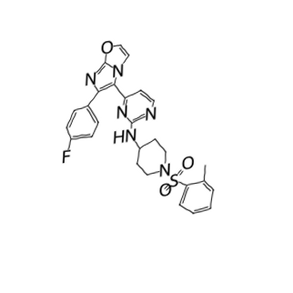 Cc1ccccc1S(=O)(=O)N1CCC(Nc2nccc(-c3c(-c4ccc(F)cc4)nc4occn34)n2)CC1